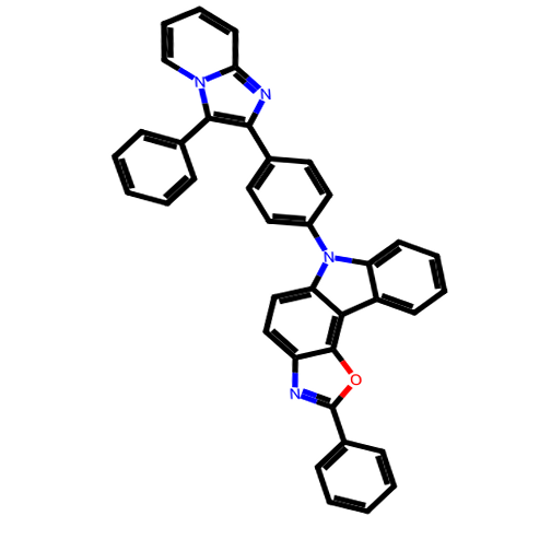 c1ccc(-c2nc3ccc4c(c5ccccc5n4-c4ccc(-c5nc6ccccn6c5-c5ccccc5)cc4)c3o2)cc1